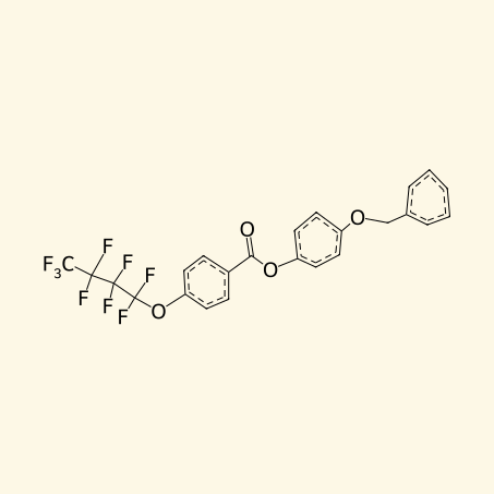 O=C(Oc1ccc(OCc2ccccc2)cc1)c1ccc(OC(F)(F)C(F)(F)C(F)(F)C(F)(F)F)cc1